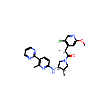 COc1cc([C@@H](C)C(=O)N2C[C@@H](C)[C@H](Nc3ccc(-c4ncccn4)c(C)n3)C2)c(Cl)cn1